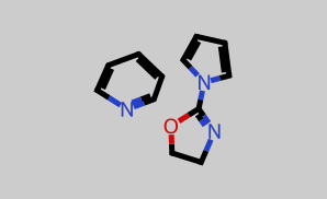 c1ccn(C2=NCCO2)c1.c1ccncc1